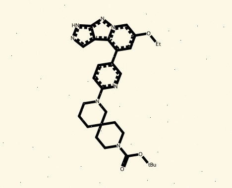 CCOc1cc(-c2ccc(N3CCCC4(CCN(C(=O)OC(C)(C)C)CC4)C3)nc2)c2c3cn[nH]c3nn2c1